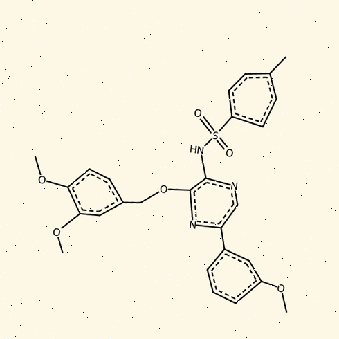 COc1cccc(-c2cnc(NS(=O)(=O)c3ccc(C)cc3)c(OCc3ccc(OC)c(OC)c3)n2)c1